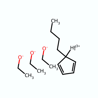 CCCC[C]1([Hf+3])C=CC=C1.CC[O-].CC[O-].CC[O-]